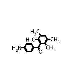 Cc1cc(C)c(C)c(C(=O)c2ccc(N)cc2)c1C